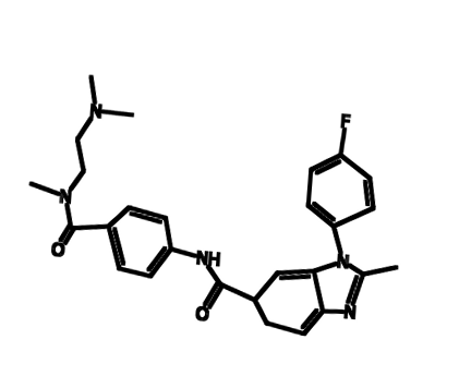 Cc1nc2c(n1-c1ccc(F)cc1)=CC(C(=O)Nc1ccc(C(=O)N(C)CCN(C)C)cc1)CC=2